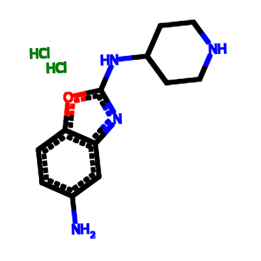 Cl.Cl.Nc1ccc2oc(NC3CCNCC3)nc2c1